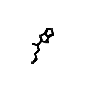 C[C@H](CC[C]=O)c1nc2cscc2[nH]1